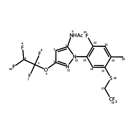 CC(=O)Nc1cc(OC(F)(F)C(F)F)nn1-c1cc(SCC(F)(F)F)c(C)cc1F